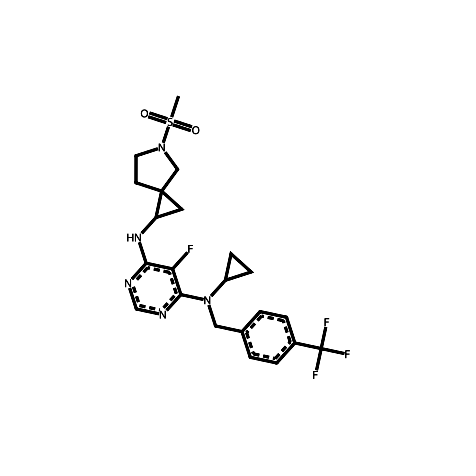 CS(=O)(=O)N1CCC2(CC2Nc2ncnc(N(Cc3ccc(C(F)(F)F)cc3)C3CC3)c2F)C1